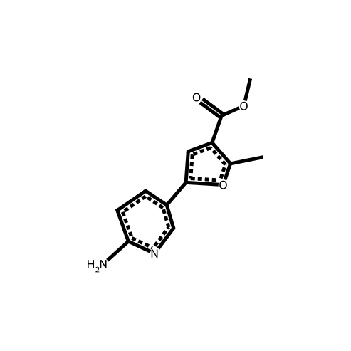 COC(=O)c1cc(-c2ccc(N)nc2)oc1C